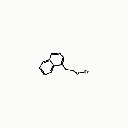 CC(C)OCCc1cccc2ccccc12